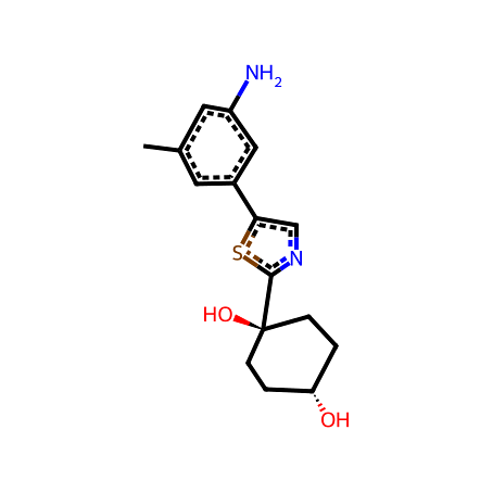 Cc1cc(N)cc(-c2cnc([C@]3(O)CC[C@H](O)CC3)s2)c1